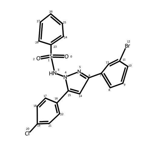 O=S(=O)(Nn1nc(-c2cccc(Br)c2)cc1-c1ccc(Cl)cc1)c1ccccc1